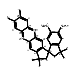 CNc1cc2c(cc1NC)C1(CC2(C)C)CC(C)(C)c2cc3nc4cc(C)c(C)cc4nc3cc21